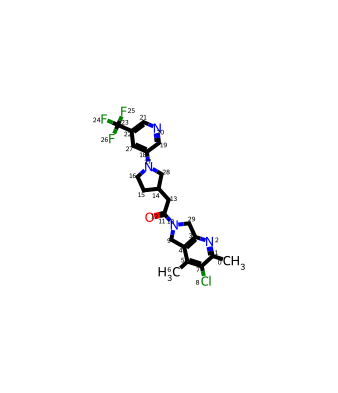 Cc1nc2c(c(C)c1Cl)CN(C(=O)CC1CCN(c3cncc(C(F)(F)F)c3)C1)C2